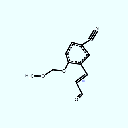 COCOc1ccc(C#N)cc1/C=C/C=O